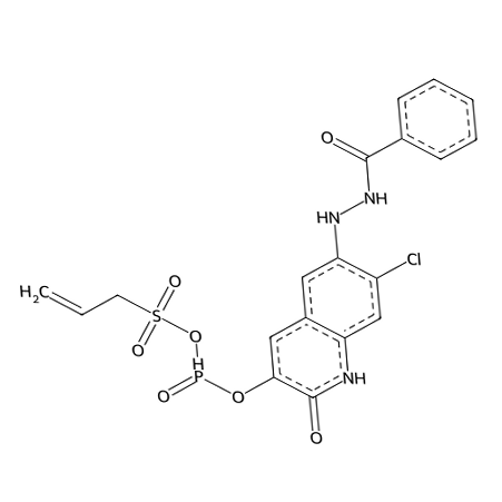 C=CCS(=O)(=O)O[PH](=O)Oc1cc2cc(NNC(=O)c3ccccc3)c(Cl)cc2[nH]c1=O